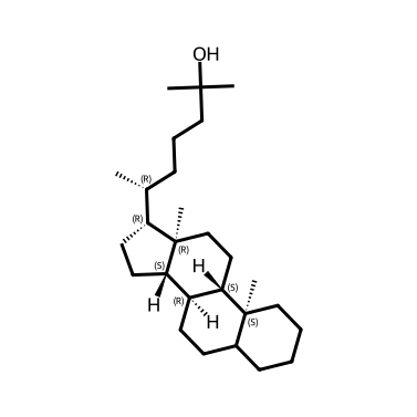 C[C@H](CCCC(C)(C)O)[C@H]1CC[C@H]2[C@@H]3CCC4CCCC[C@]4(C)[C@H]3CC[C@]12C